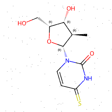 C[C@@H]1[C@@H](O)[C@@H](CO)O[C@H]1n1ccc(=S)[nH]c1=O